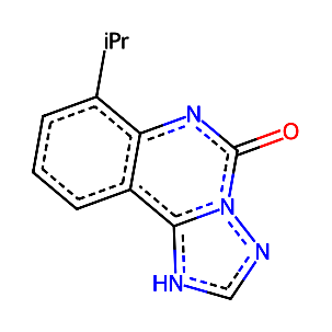 CC(C)c1cccc2c1nc(=O)n1nc[nH]c21